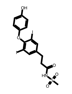 CS(=O)(=O)NC(=O)CCc1cc(I)c(Oc2ccc(O)cc2)c(I)c1